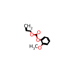 C=CCOC(=O)Oc1ccccc1OC